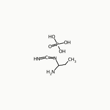 CCC(N)N=C=N.O=P(O)(O)O